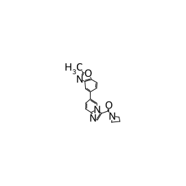 Cc1nc2cc(-c3ccc4ncc(C(=O)N5CCC5)n4c3)ccc2o1